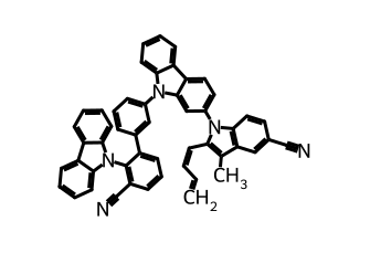 C=C/C=C\c1c(C)c2cc(C#N)ccc2n1-c1ccc2c3ccccc3n(-c3cccc(-c4cccc(C#N)c4-n4c5ccccc5c5ccccc54)c3)c2c1